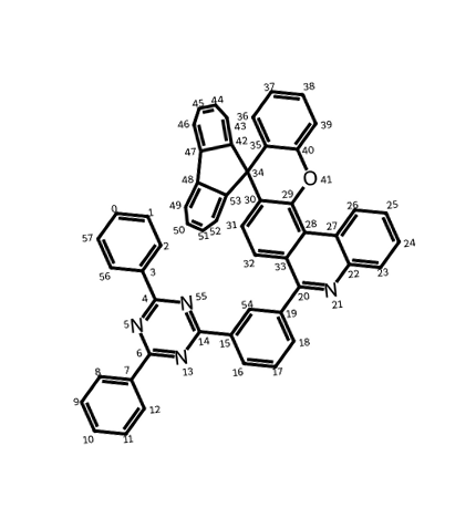 c1ccc(-c2nc(-c3ccccc3)nc(-c3cccc(-c4nc5ccccc5c5c6c(ccc45)C4(c5ccccc5O6)c5ccccc5-c5ccccc54)c3)n2)cc1